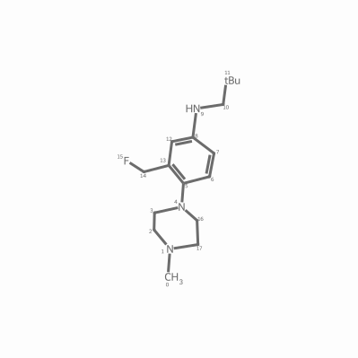 CN1CCN(c2ccc(NCC(C)(C)C)cc2CF)CC1